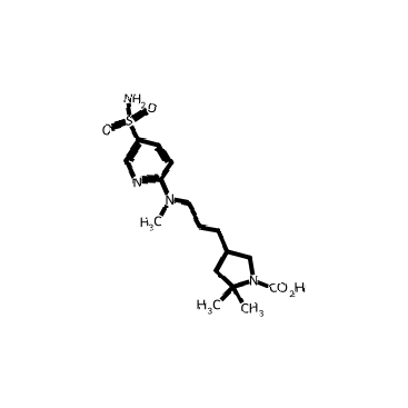 CN(CCCC1CN(C(=O)O)C(C)(C)C1)c1ccc(S(N)(=O)=O)cn1